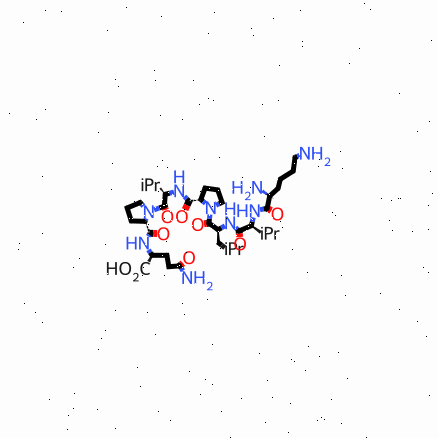 CC(C)C[C@H](NC(=O)[C@@H](NC(=O)[C@@H](N)CCCCN)C(C)C)C(=O)N1CCC[C@H]1C(=O)N[C@H](C(=O)N1CCC[C@H]1C(=O)N[C@@H](CCC(N)=O)C(=O)O)C(C)C